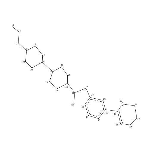 CCCC1CCC(C2CCC(C3Cc4ccc(C5=[S+]CCCS5)cc4C3)CC2)CC1